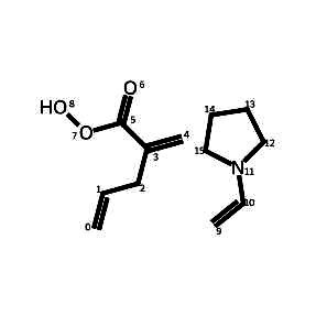 C=CCC(=C)C(=O)OO.C=CN1CCCC1